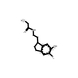 CCC(=O)NCCC1CCc2cc(F)c(O)cc21